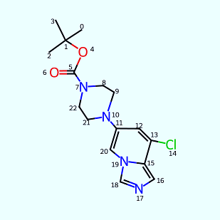 CC(C)(C)OC(=O)N1CCN(c2cc(Cl)c3cncn3c2)CC1